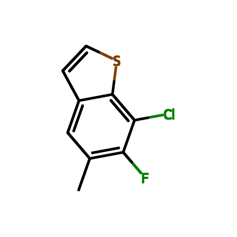 Cc1cc2ccsc2c(Cl)c1F